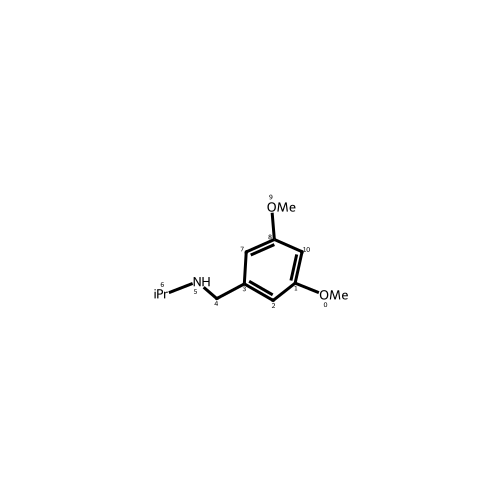 COc1cc(CNC(C)C)cc(OC)c1